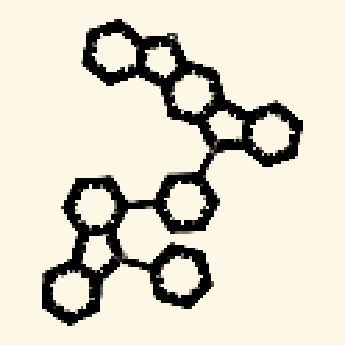 c1ccc(-n2c3ccccc3c3cccc(-c4cccc(-n5c6ccccc6c6cc7oc8ccccc8c7cc65)c4)c32)cc1